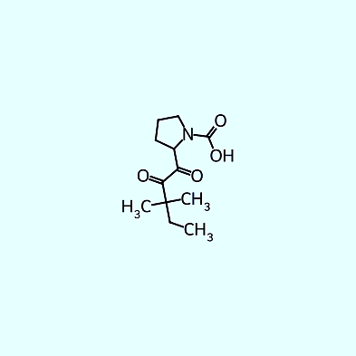 CCC(C)(C)C(=O)C(=O)C1CCCN1C(=O)O